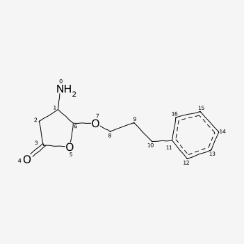 NC1CC(=O)OC1OCCCc1ccccc1